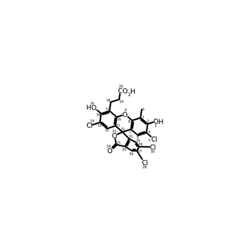 Cc1c(O)c(Cl)cc2c1Oc1c(cc(Cl)c(O)c1CCC(=O)O)C21OC(=O)c2cc(Cl)c(Cl)cc21